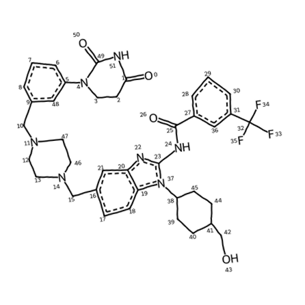 O=C1CCN(c2cccc(CN3CCN(Cc4ccc5c(c4)nc(NC(=O)c4cccc(C(F)(F)F)c4)n5C4CCC(CO)CC4)CC3)c2)C(=O)N1